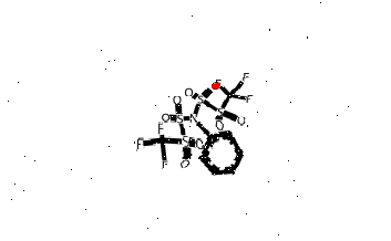 O=S(=O)(N(c1ccccc1)S(=O)(=O)S(=O)(=O)C(F)(F)F)S(=O)(=O)C(F)(F)F